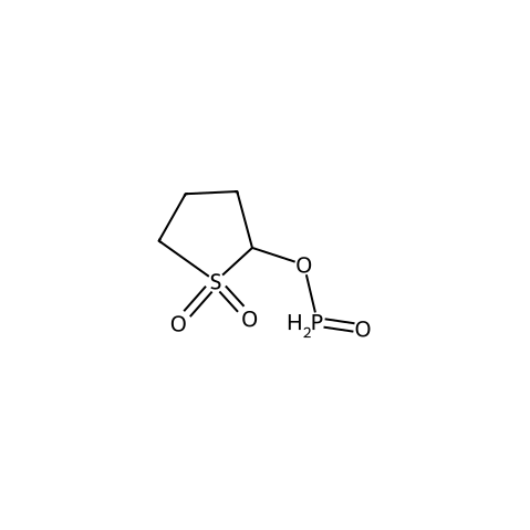 O=[PH2]OC1CCCS1(=O)=O